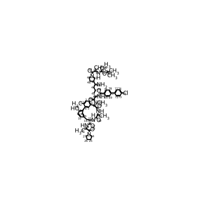 Cc1ccc2cc1-c1cc(ccc1O)C[C@@H](C(=O)N[C@@H](C)C(=O)N1CCCC1)NC(=O)[C@H](C)NC(=O)[C@H]2N(C)C(=O)[C@H](CCCC(N)C1CCN(C(=O)[C@H](C)NC(=O)OC(C)(C)C)C1)NC(=O)c1ccc(-c2ccc(Cl)cc2)cc1